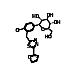 OC[C@H]1O[C@@H](c2ccc(Cl)c(Cc3nnc(-c4ccco4)s3)c2)[C@H](O)[C@@H](O)[C@@H]1O